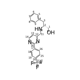 OC[C@@H](Cc1ccccc1)NCc1ccnc(-c2ccc(C(F)(F)F)cc2)n1